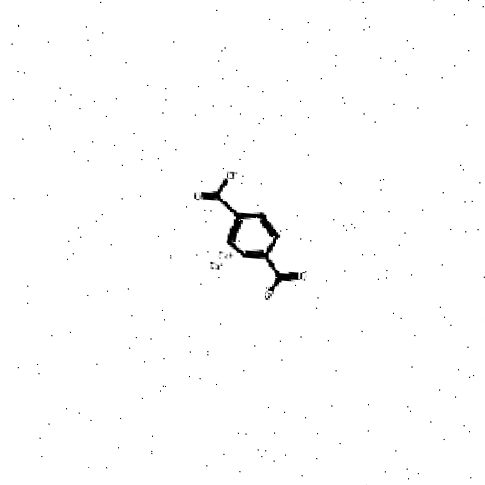 O=C([O-])c1ccc(C(=O)[O-])cc1.[Cs+].[Cs+]